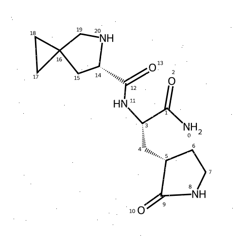 NC(=O)[C@H](C[C@@H]1CCNC1=O)NC(=O)[C@@H]1CC2(CC2)CN1